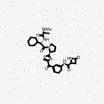 CN[C@@H](C)C(=O)N[C@H](C(=O)N1CCC[C@H]1c1nc(C(=O)C2=CCCC(NC(=O)C3CC(=O)N3)=C2)cs1)C1CCCCC1